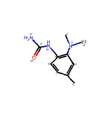 CCN(C)c1cc(C)ccc1NC(N)=O